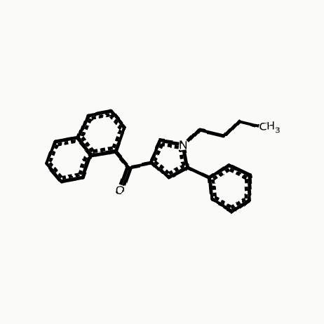 CCCCn1cc(C(=O)c2cccc3ccccc23)cc1-c1ccccc1